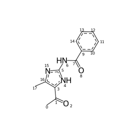 CC(=O)c1[nH]c(NC(=O)c2ccccc2)nc1C